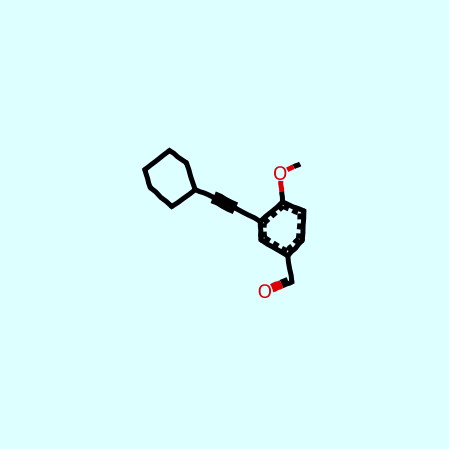 COc1ccc(C=O)cc1C#CC1CCCCC1